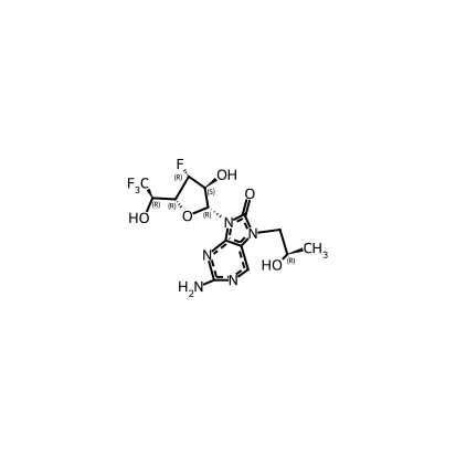 C[C@@H](O)Cn1c(=O)n([C@@H]2O[C@H]([C@@H](O)C(F)(F)F)[C@H](F)[C@H]2O)c2nc(N)ncc21